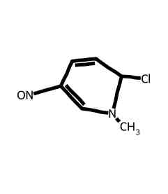 CN1C=C(N=O)C=CC1Cl